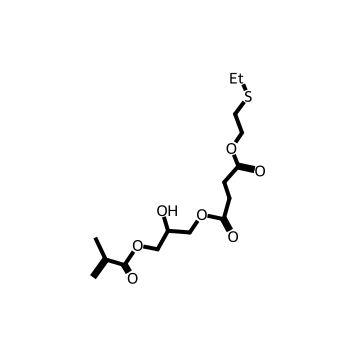 C=C(C)C(=O)OCC(O)COC(=O)CCC(=O)OCCSCC